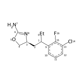 CCC(C[C@H]1COC(N)=N1)c1cccc(Cl)c1F